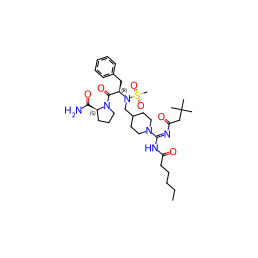 CCCCCC(=O)NC(=NC(=O)CC(C)(C)C)N1CCC(CN([C@H](Cc2ccccc2)C(=O)N2CCC[C@H]2C(N)=O)S(C)(=O)=O)CC1